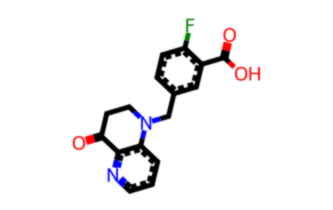 O=C(O)c1cc(CN2CCC(=O)c3ncccc32)ccc1F